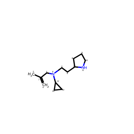 C=C(C)CN(CCC1CCCN1)C1CC1